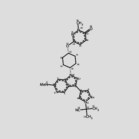 CNc1cc2c(cn1)c(-c1cnn(C(C)(C)C#N)c1)nn2[C@H]1CC[C@@H](Oc2ccc(=O)n(C)n2)CC1